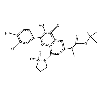 CN(C(=O)OC(C)(C)C)c1cc(N2CCCS2(=O)=O)c2oc(-c3ccc(O)c(Cl)c3)c(O)c(=O)c2c1